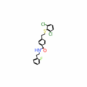 O=C(NCCc1ccccc1F)c1ccc(CCSc2c(Cl)cccc2Cl)cc1